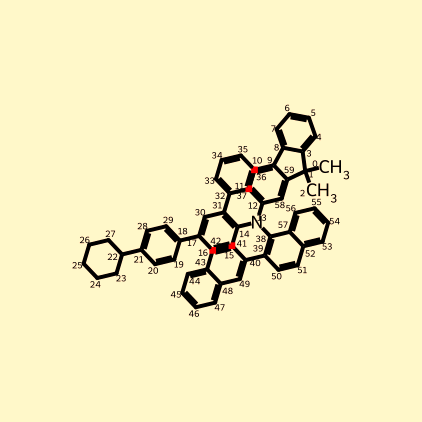 CC1(C)c2ccccc2-c2ccc(N(c3ccc(-c4ccc(C5CCCCC5)cc4)cc3-c3ccccc3)c3c(-c4ccc5ccccc5c4)ccc4ccccc34)cc21